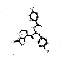 CC(C)c1ccc(C(=O)NC(Cc2ccc(O)cc2)C(=O)C2CCNC3C(=O)COC23)cc1